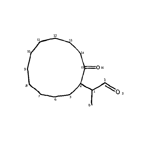 CC(C=O)C1CCCCCCCCCCC1=O